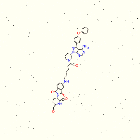 Nc1ncnc2c1c(-c1ccc(Oc3ccccc3)cc1)nn2[C@@H]1CCCN(C(=C=O)CCCCCNc2ccc3c(c2)C(=O)N(C2CCC(=C=O)NC2=C=O)C3=O)C1